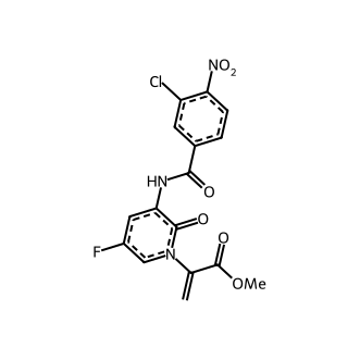 C=C(C(=O)OC)n1cc(F)cc(NC(=O)c2ccc([N+](=O)[O-])c(Cl)c2)c1=O